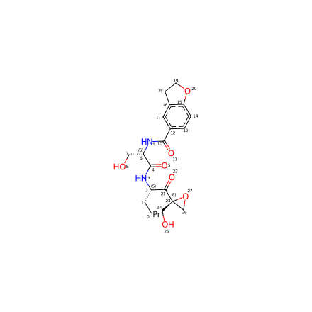 CC(C)C[C@H](NC(=O)[C@H](CO)NC(=O)c1ccc2c(c1)CCO2)C(=O)[C@@]1(CO)CO1